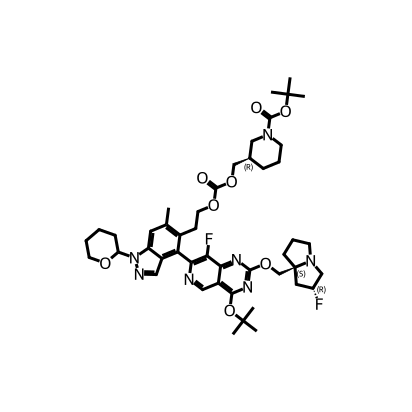 Cc1cc2c(cnn2C2CCCCO2)c(-c2ncc3c(OC(C)(C)C)nc(OC[C@@]45CCCN4C[C@H](F)C5)nc3c2F)c1CCOC(=O)OC[C@@H]1CCCN(C(=O)OC(C)(C)C)C1